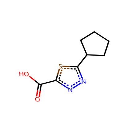 O=C(O)c1nnc(C2CCCC2)s1